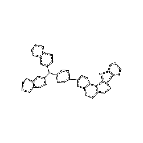 c1ccc2cc(N(c3ccc(-c4ccc5c(ccc6ccc7c8ccccc8oc7c65)c4)cc3)c3ccc4ccccc4c3)ccc2c1